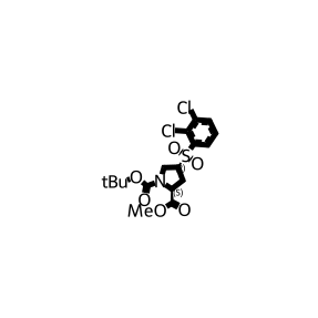 COC(=O)[C@@H]1C[C@@H](S(=O)(=O)c2cccc(Cl)c2Cl)CN1C(=O)OC(C)(C)C